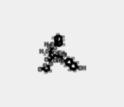 CC(C)(CC(C)(CC(C)(C)C(=O)OC1(C)C2CC3CC(C2)CC1C3)C(=O)OC1CCC(=O)O1)C(=O)Oc1ccc2cc(O)ccc2c1